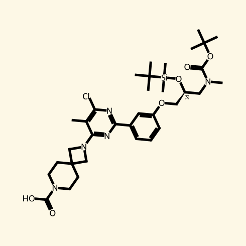 Cc1c(Cl)nc(-c2cccc(OC[C@H](CN(C)C(=O)OC(C)(C)C)O[Si](C)(C)C(C)(C)C)c2)nc1N1CC2(CCN(C(=O)O)CC2)C1